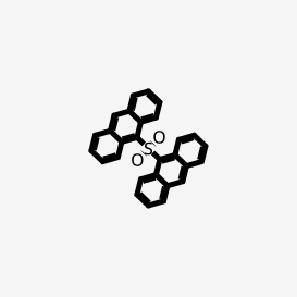 O=S(=O)(c1c2ccccc2cc2ccccc12)c1c2ccccc2cc2ccccc12